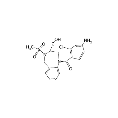 CS(=O)(=O)N1Cc2ccccc2N(C(=O)c2ccc(N)cc2Cl)CC1CO